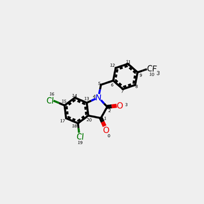 O=C1C(=O)N(Cc2ccc(C(F)(F)F)cc2)c2cc(Cl)cc(Cl)c21